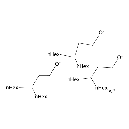 CCCCCCC(CC[O-])CCCCCC.CCCCCCC(CC[O-])CCCCCC.CCCCCCC(CC[O-])CCCCCC.[Al+3]